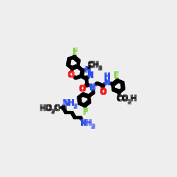 Cn1nc(C(=O)N(CC(=O)Nc2cc(C(=O)O)ccc2F)Cc2cccc(F)c2)c2c1-c1cc(F)ccc1OC2.NCCCC[C@H](N)C(=O)O